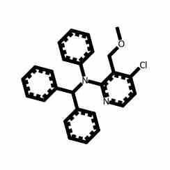 COCc1c(Cl)ccnc1N(c1ccccc1)C(c1ccccc1)c1ccccc1